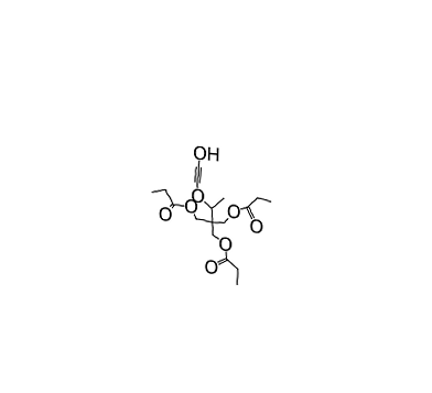 CCC(=O)OCC(COC(=O)CC)(COC(=O)CC)C(C)OC#CO